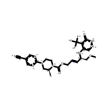 COC[C@@H](/C=C/COC(=O)N1CCN(c2ncc(C#N)cn2)C[C@@H]1C)Nc1cn[nH]c(=O)c1C(F)(F)F